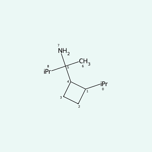 CC(C)C1CCC1C(C)(N)C(C)C